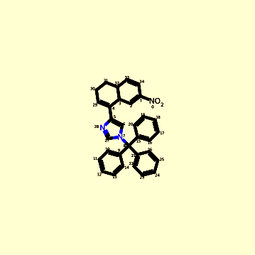 O=[N+]([O-])C1=CC2C(c3cn(C(c4ccccc4)(c4ccccc4)c4ccccc4)cn3)=CCCC2C=C1